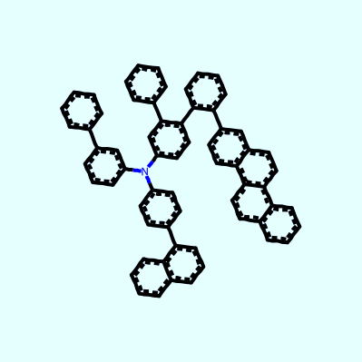 c1ccc(-c2cccc(N(c3ccc(-c4cccc5ccccc45)cc3)c3ccc(-c4ccccc4-c4ccc5c(ccc6c7ccccc7ccc56)c4)c(-c4ccccc4)c3)c2)cc1